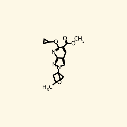 COC(=O)c1cc2cn(C34COC(C)(C3)C4)nc2nc1OC1CC1